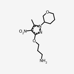 Cc1c([N+](=O)[O-])c(OCCCN)nn1C1CCCOC1